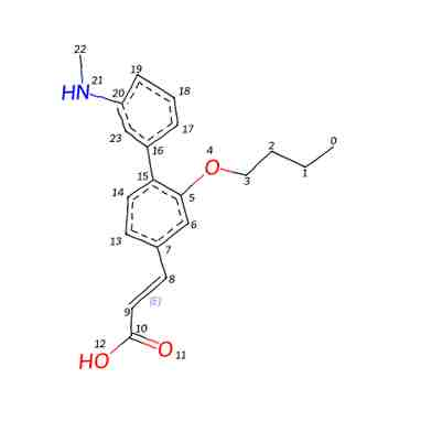 CCCCOc1cc(/C=C/C(=O)O)ccc1-c1cccc(NC)c1